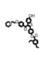 CCc1ccc(C(=O)Oc2ccc(-c3sc4cc(O)ccc4c3C(=O)c3ccc(OCCN4CCCCC4)cc3)cc2)c(CC)c1